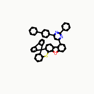 c1ccc(-c2ccc(-c3cc(-c4cccc5oc6c7c(ccc6c45)C4(c5ccccc5S7)c5ccccc5-c5ccccc54)nc(-c4ccccc4)n3)cc2)cc1